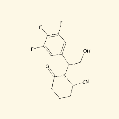 N#CC1CCCC(=O)N1C(CO)c1cc(F)c(F)c(F)c1